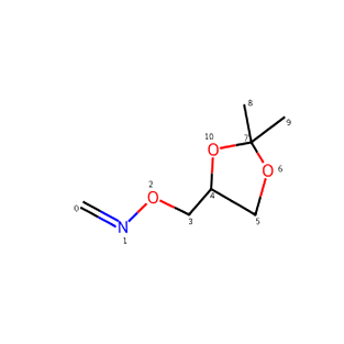 C=NOCC1COC(C)(C)O1